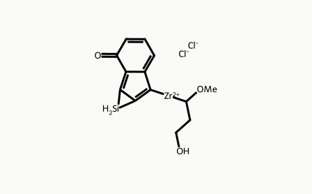 CO[CH](CCO)[Zr+2][C]1=C2[SiH2]C2=C2C(=O)C=CC=C12.[Cl-].[Cl-]